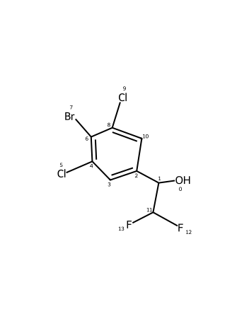 OC(c1cc(Cl)c(Br)c(Cl)c1)C(F)F